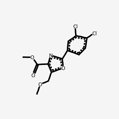 COCc1oc(-c2ccc(Cl)c(Cl)c2)nc1C(=O)OC